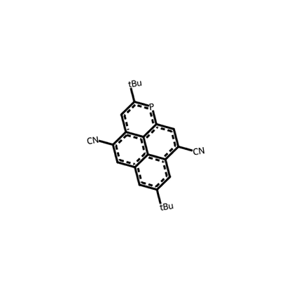 [C-]#[N+]c1cc2cc(C(C)(C)C)cc3c(C#N)cc4pc(C(C)(C)C)cc1c4c23